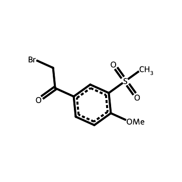 COc1ccc(C(=O)CBr)cc1S(C)(=O)=O